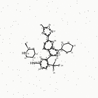 Cc1nc(-c2ccc3c(-c4nc(N[C@H]5CC[C@H](C)NC5)ncc4C(F)(F)F)nn(C4CCCCO4)c3n2)no1